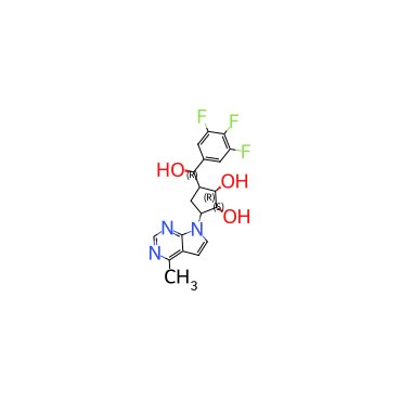 Cc1ncnc2c1ccn2C1CC([C@@H](O)c2cc(F)c(F)c(F)c2)[C@@H](O)[C@H]1O